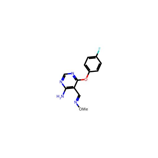 CON=Cc1c(N)ncnc1Oc1ccc(F)cc1